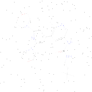 Cc1ncc(NC(=O)NCCC(C)(C)C)cc1-c1cc(N2CCOCC2)nc(N2CCOCC2)c1